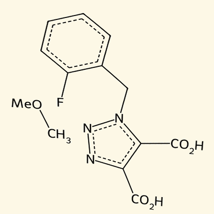 COC.O=C(O)c1nnn(Cc2ccccc2F)c1C(=O)O